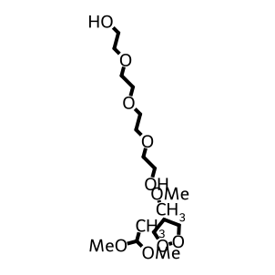 C1COOC1.COC.COC(C)OC.OCCOCCOCCOCCO